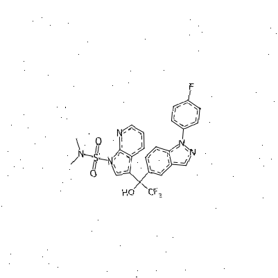 CN(C)S(=O)(=O)n1cc(C(O)(c2ccc3c(cnn3-c3ccc(F)cc3)c2)C(F)(F)F)c2cccnc21